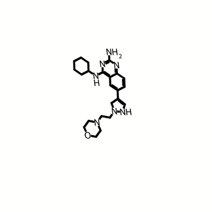 Nc1nc(NC2CCCCC2)c2cc(C3=CNN(CCN4CCOCC4)C3)ccc2n1